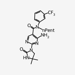 CCCCCN(C(=O)c1cnc(N2CC(C)(C)NC2=O)nc1N)c1cccc(C(F)(F)F)c1